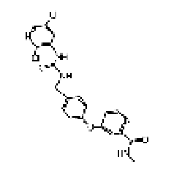 CNC(=O)c1cc(Oc2ccc(CNC(=O)Nc3cc(Cl)cnc3Cl)cc2)ccn1